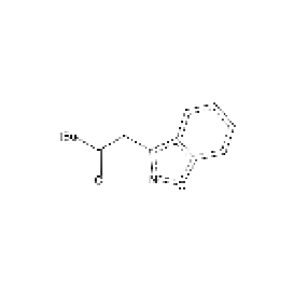 CC(C)(C)C(=O)Cc1noc2ccccc12